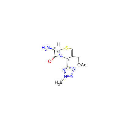 Bn1nnc([C@H]2C(COC(C)=O)=CS[C@@H]3[C@H](N)C(=O)N23)n1